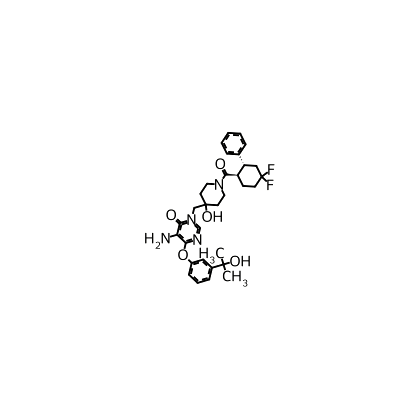 CC(C)(O)c1cccc(Oc2ncn(CC3(O)CCN(C(=O)[C@@H]4CCC(F)(F)C[C@H]4c4ccccc4)CC3)c(=O)c2N)c1